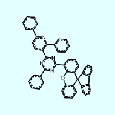 c1ccc(-c2ccc(-c3nc(-c4ccccc4)nc(-c4cccc5c4Oc4ccccc4C54c5ccccc5-c5ccccc54)n3)c(-c3ccccc3)n2)cc1